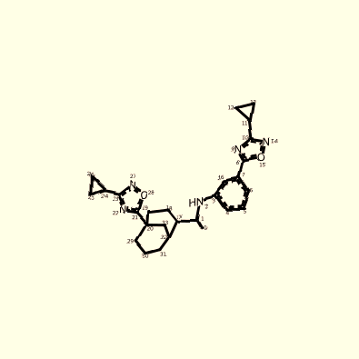 CC(Nc1cccc(-c2nc(C3CC3)no2)c1)C1CCC2(c3nc(C4CC4)no3)CCCC1C2